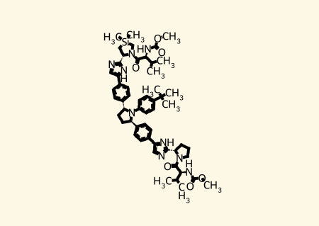 COC(=O)N[C@H](C(=O)N1CCC[C@H]1c1ncc(-c2ccc([C@H]3CC[C@H](c4ccc(-c5cnc([C@@H]6C[Si](C)(C)CN6C(=O)[C@@H](NC(=O)OC)C(C)C)[nH]5)cc4)N3c3ccc(C(C)(C)C)cc3)cc2)[nH]1)C(C)C